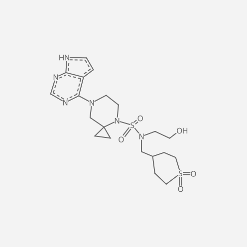 O=S1(=O)CCC(CN(CCO)S(=O)(=O)N2CCN(c3ncnc4[nH]ccc34)CC23CC3)CC1